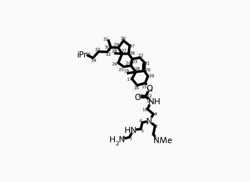 CNCCN(CCNCN)CCNC(=O)OC1CCC2(C)C(=CCC3C2CCC2(C)C(C(C)CCCC(C)C)CCC32)C1